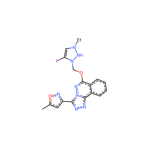 CCN1C=C(I)N(COc2nn3c(-c4cc(C)on4)nnc3c3ccccc23)N1